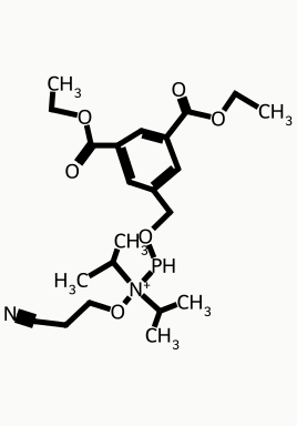 CCOC(=O)c1cc(COP[N+](OCCC#N)(C(C)C)C(C)C)cc(C(=O)OCC)c1